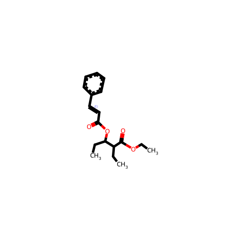 CCOC(=O)C(CC)C(CC)OC(=O)/C=C/c1ccccc1